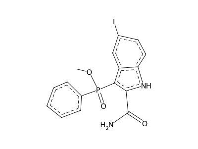 COP(=O)(c1ccccc1)c1c(C(N)=O)[nH]c2ccc(I)cc12